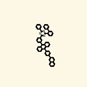 c1ccc(-c2nc(-c3cccc(-c4c5ccccc5c(-c5ccc(-c6ccc7ccccc7c6)cc5)c5ccccc45)c3)nc(-c3ccccc3-c3ccccc3)n2)cc1